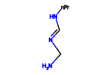 CCCN/C=N/CN